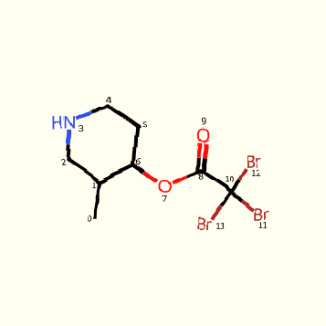 CC1CNCCC1OC(=O)C(Br)(Br)Br